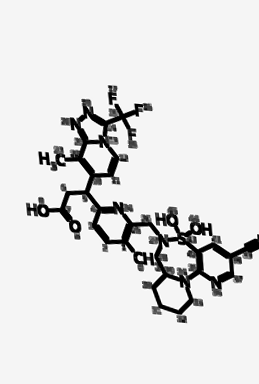 Cc1ccc(C(CC(=O)O)c2ccn3c(C(F)(F)F)nnc3c2C)nc1CN1CC2CCCCN2c2ncc(C#N)cc2S1(O)O